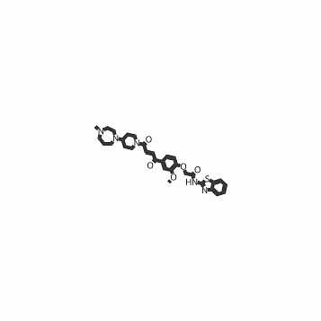 COc1cc(C(=O)C=CC(=O)N2CCC(N3CCCN(C)CC3)CC2)ccc1OCC(=O)Nc1nc2ccccc2s1